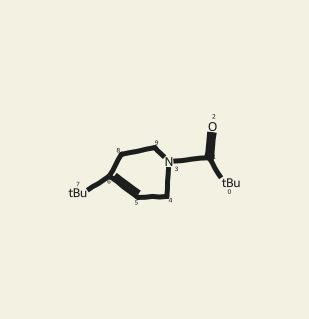 CC(C)(C)C(=O)N1CC=C(C(C)(C)C)CC1